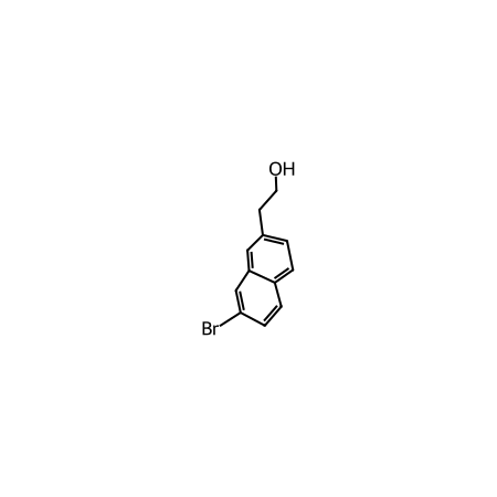 OCCc1ccc2ccc(Br)cc2c1